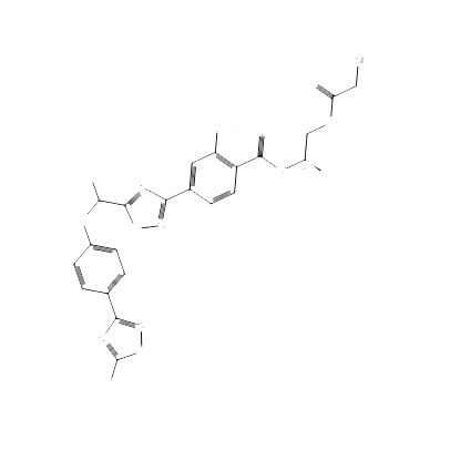 CCC(Oc1ccc(-c2noc(C)n2)cc1)c1nc(-c2ccc(C(=O)N[C@H](C)COC(=O)CN)c(C)c2)no1